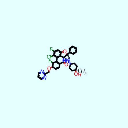 C[C@]1(O)CC[C@H](NC[C@@]2(c3ccccc3)Cc3c(cc(F)c(Cl)c3C3=C(C(N)=O)C=CC(OCc4ncccn4)C3F)O2)CC1